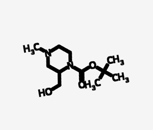 CN1CCN(C(=O)OC(C)(C)C)C(CO)C1